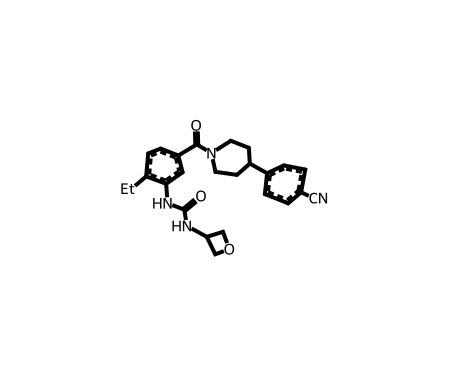 CCc1ccc(C(=O)N2CCC(c3ccc(C#N)cc3)CC2)cc1NC(=O)NC1COC1